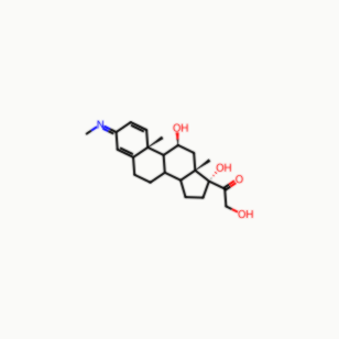 C/N=C1/C=C[C@@]2(C)C(=C1)CCC1C2[C@@H](O)C[C@@]2(C)C1CC[C@]2(O)C(=O)CO